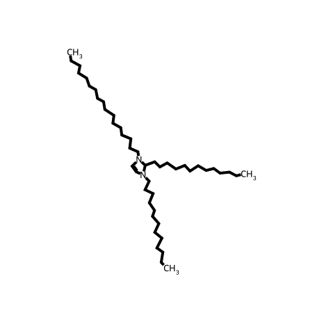 CCCCCCCCCCCCCCCCCN1C=CN(CCCCCCCCCCCCC)C1CCCCCCCCCCCCC